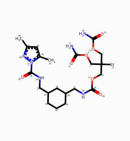 CCC(COC(N)=O)(COC(N)=O)COC(=O)NCC1CCCC(CNC(=O)n2nc(C)cc2C)C1